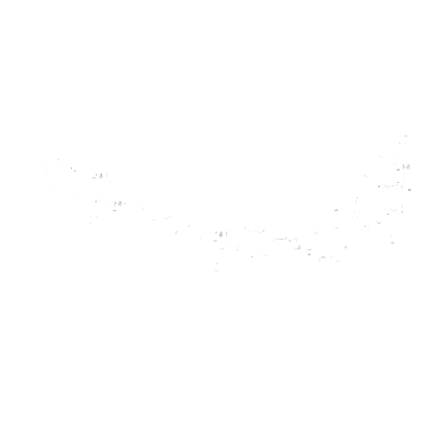 N[C@@H](Cc1cscn1)C(=O)NCCCCCCCNC(=O)c1ccc(NC(=O)c2ccc(CN(C(=O)c3ccc4c(c3)OCC(=O)N4)C3CC3)cc2)cc1